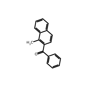 [CH2]c1c(C(=O)c2ccccc2)ccc2ccccc12